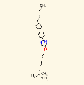 C=C[Si](C)(C)CCCCCCCCCOc1cnc(-c2ccc(-c3ccc(CCCCCCC)cc3)cc2)nc1